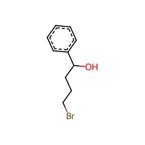 OC(CCCBr)c1ccccc1